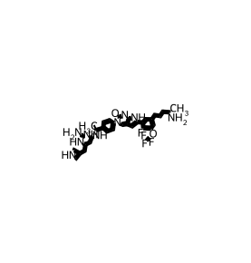 C[C@H](N)CCCc1cc(OC(F)(F)F)c(F)c(-c2cc3cn(-c4ccc([C@H](C)NCCC(CC5CNC5)NC(=N)N)cc4)c(=O)nc3[nH]2)c1